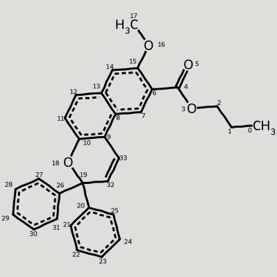 CCCOC(=O)c1cc2c3c(ccc2cc1OC)OC(c1ccccc1)(c1ccccc1)C=C3